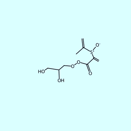 C=C(C)[S+]([O-])C(=C)C(=O)OOCC(O)CO